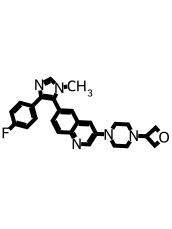 Cn1cnc(-c2ccc(F)cc2)c1-c1ccc2ncc(N3CCN(C4COC4)CC3)cc2c1